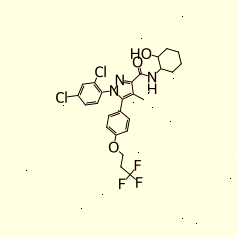 Cc1c(C(=O)NC2CCCCC2O)nn(-c2ccc(Cl)cc2Cl)c1-c1ccc(OCCC(F)(F)F)cc1